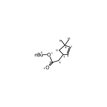 CCCCOC(=O)CC1C=CC(C)(C)C1